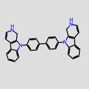 C1=Cc2c(n(-c3ccc(-c4ccc(-n5c6c(c7ccccc75)C=CNC6)cc4)cc3)c3ccccc23)CN1